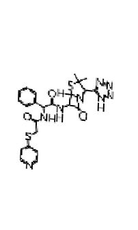 CC1(C)S[C@H]2C(NC(=O)C(NC(=O)CSc3ccncc3)c3ccccc3)C(=O)N2C1c1nnn[nH]1